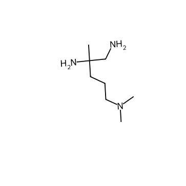 CN(C)CCCC(C)(N)CN